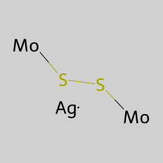 [Ag].[Mo][S][S][Mo]